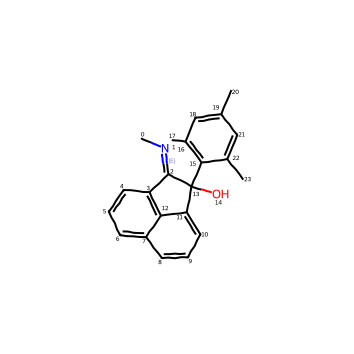 C/N=C1\c2cccc3cccc(c23)C1(O)c1c(C)cc(C)cc1C